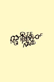 COc1cc(C(=O)NCC(O)(c2cc3c(c(-c4ccc(F)cc4)n2)OC[C@]3(C)n2ccnc2)C(F)(F)F)cc2cccnc12